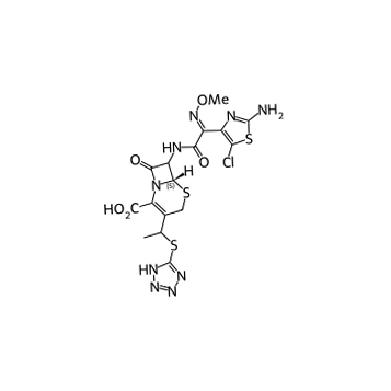 CON=C(C(=O)NC1C(=O)N2C(C(=O)O)=C(C(C)Sc3nnn[nH]3)CS[C@@H]12)c1nc(N)sc1Cl